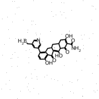 BCc1cncc(-c2ccc(O)c3c2CC2CC4CC(O)=C(C(N)=O)C(=O)C4C(O)=C2C3=O)c1